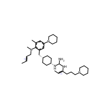 C/C=C(/CCCN1CCCCC1)NC(N)N[C@H]1CC[C@@H](Cc2cc(N3CCCCC3)cc(C)c2N(C)C/C=C/C)CC1